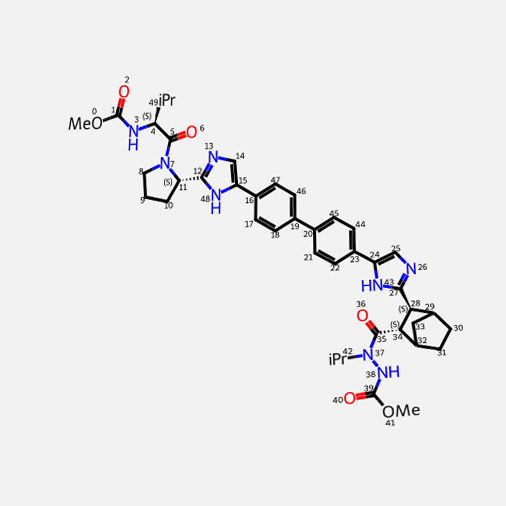 COC(=O)N[C@H](C(=O)N1CCC[C@H]1c1ncc(-c2ccc(-c3ccc(-c4cnc([C@H]5C6CCC(C6)[C@@H]5C(=O)N(NC(=O)OC)C(C)C)[nH]4)cc3)cc2)[nH]1)C(C)C